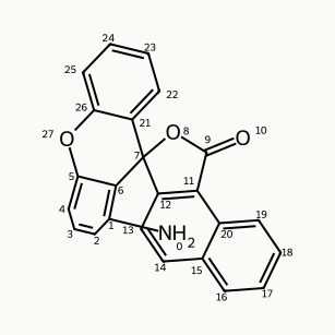 Nc1cccc2c1C1(OC(=O)c3c1ccc1ccccc31)c1ccccc1O2